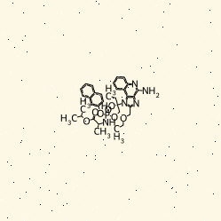 CCOCc1nc2c(N)nc3ccccc3c2n1[C@](O)(CC)CO[P@@](=O)(N[C@@H](C)C(=O)OC(C)C)Oc1ccc2ccccc2c1